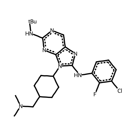 CN(C)CC1CCC(n2c(Nc3cccc(Cl)c3F)nc3cnc(NC(C)(C)C)nc32)CC1